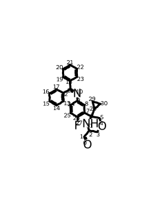 O=CC1COCC(c2cc(N=C(c3ccccc3)c3ccccc3)ccc2F)(C2CC2)N1